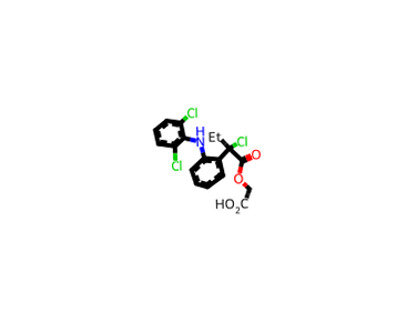 CCC(Cl)(C(=O)OCC(=O)O)c1ccccc1Nc1c(Cl)cccc1Cl